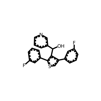 OC(c1cccnc1)c1c(-c2cccc(F)c2)csc1-c1cccc(F)c1